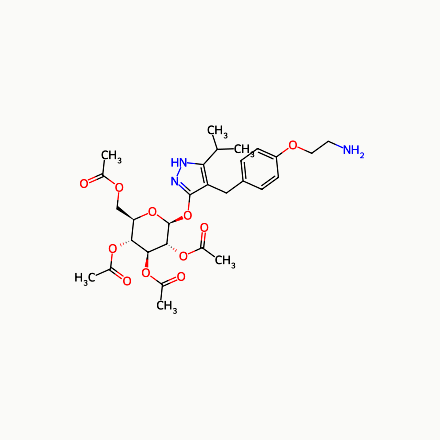 CC(=O)OC[C@H]1O[C@@H](Oc2n[nH]c(C(C)C)c2Cc2ccc(OCCN)cc2)[C@H](OC(C)=O)[C@@H](OC(C)=O)[C@@H]1OC(C)=O